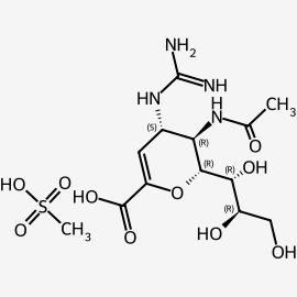 CC(=O)N[C@H]1[C@H]([C@H](O)[C@H](O)CO)OC(C(=O)O)=C[C@@H]1NC(=N)N.CS(=O)(=O)O